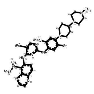 CCc1cc(Nc2ncc(C(C)C)c(Nc3ccc4nccnc4c3N(C)SC)n2)c(OC)cc1N1CCC(N2CCN(C)CC2)CC1